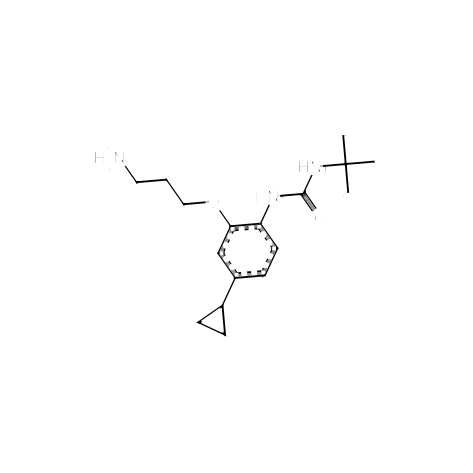 CC(C)(C)NC(=O)Nc1ccc(C2CC2)cc1OCCCN